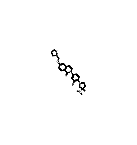 CN(C)C1(C)CCN(c2ccc(-n3ccc4cc(OCC5CCCO5)ccc4c3=O)cc2F)C1